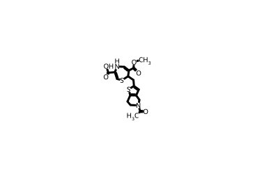 COC(=O)C1=CNC(C(=O)O)=CSC1Cc1cc2c(s1)CCN(C(C)=O)C2